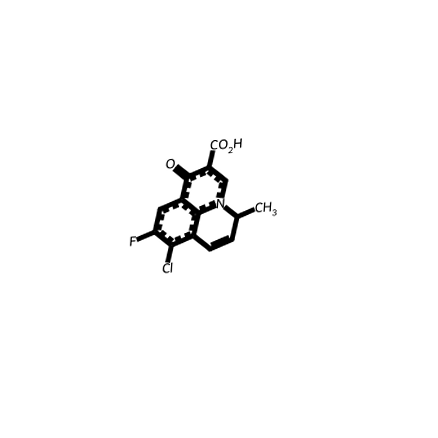 CC1C=Cc2c(Cl)c(F)cc3c(=O)c(C(=O)O)cn1c23